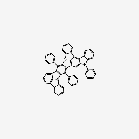 c1ccc(-c2c3c4cc5c(c6ccccc6n5-c5ccccc5)c5c6ccccc6n(c3c(-c3ccccc3)c3c6cccc7c8ccccc8n(c23)c76)c45)cc1